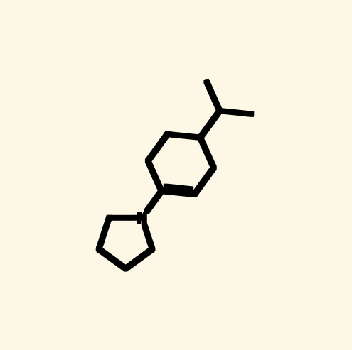 CC(C)C1CC=C(N2CCCC2)CC1